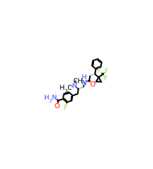 CN(C)[C@H](CNC(=O)C[C@H](c1ccccc1)C1(C(F)(F)F)CC1)Cc1ccc(C(N)=O)c(F)c1